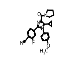 COc1ccc(-n2c(-c3ccc(C#N)c(F)c3)nc(C(=O)N3CCCC3)c2C2CC2)cc1